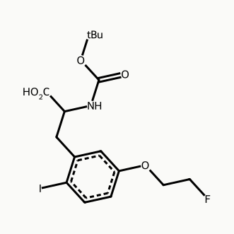 CC(C)(C)OC(=O)NC(Cc1cc(OCCF)ccc1I)C(=O)O